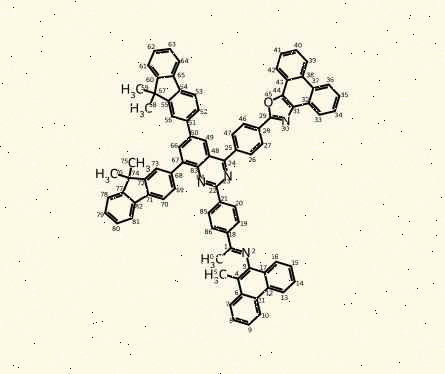 C/C(=N\c1c(C)c2ccccc2c2ccccc12)c1ccc(-c2nc(-c3ccc(-c4nc5c6ccccc6c6ccccc6c5o4)cc3)c3cc(-c4ccc5c(c4)C(C)(C)c4ccccc4-5)cc(-c4ccc5c(c4)C(C)(C)c4ccccc4-5)c3n2)cc1